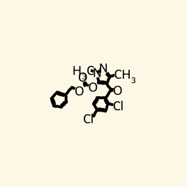 Cc1nn(C)c(OC(=O)OCc2ccccc2)c1C(=O)c1ccc(Cl)cc1Cl